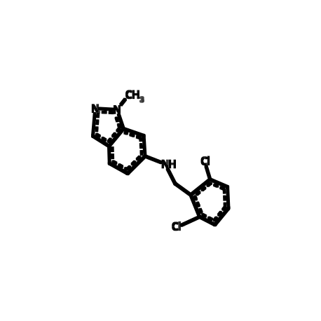 Cn1ncc2ccc(NCc3c(Cl)cccc3Cl)cc21